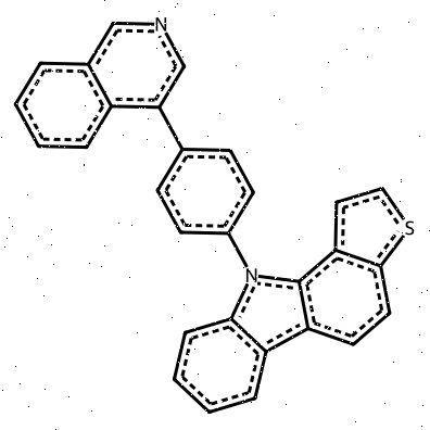 c1ccc2c(-c3ccc(-n4c5ccccc5c5ccc6sccc6c54)cc3)cncc2c1